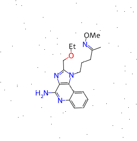 CCOCc1nc2c(N)nc3ccccc3c2n1CCCC(C)=NOC